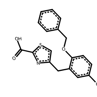 O=C(O)c1nc(Cc2cc(Cl)ccc2OCc2ccccc2)cs1